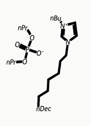 CCCCCCCCCCCCCCCCn1cc[n+](CCCC)c1.CCCOP(=O)([O-])OCCC